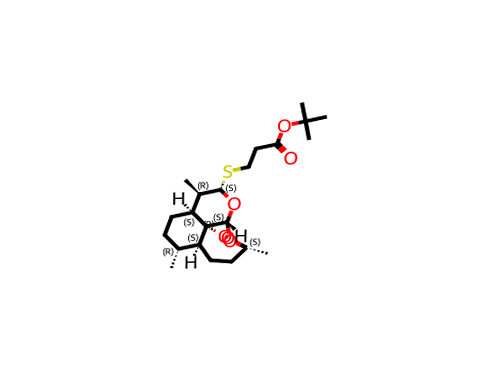 C[C@H]1[C@H](SCCC(=O)OC(C)(C)C)O[C@@H]2O[C@]3(C)CC[C@H]4[C@H](C)CC[C@@H]1[C@@]24OO3